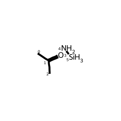 CC(C)=O.N[SiH3]